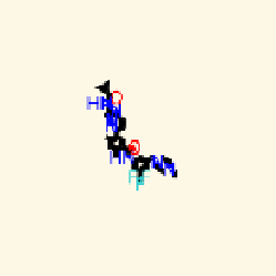 CCN1CCN(Cc2cc(NC(=O)c3cc(-c4ccc5nc(NC(=O)C6CC6)cn5n4)c(C)cc3C)cc(C(F)(F)F)c2)CC1